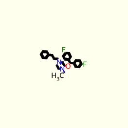 CCN1CCN(CCCc2ccccc2)CC1OC(c1ccc(F)cc1)c1ccc(F)cc1